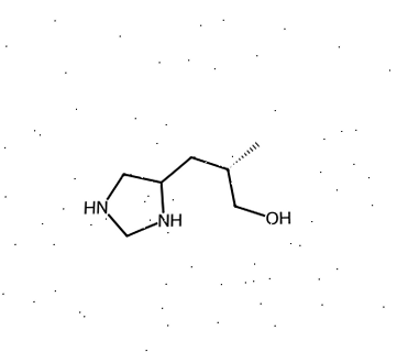 C[C@H](CO)CC1CNCN1